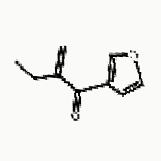 C=C(CC)C(=O)c1ccoc1